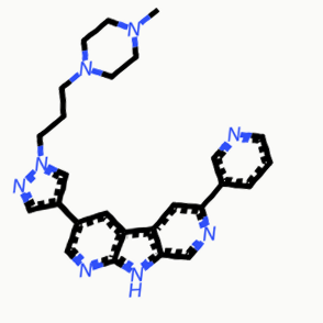 CN1CCN(CCCn2cc(-c3cnc4[nH]c5cnc(-c6cccnc6)cc5c4c3)cn2)CC1